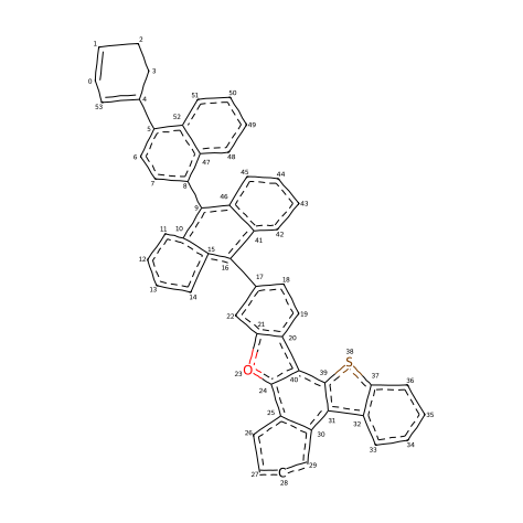 C1=CCCC(c2ccc(-c3c4ccccc4c(-c4ccc5c(c4)oc4c6ccccc6c6c7ccccc7sc6c54)c4ccccc34)c3ccccc23)=C1